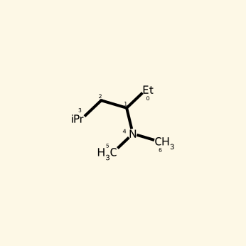 CCC(CC(C)C)N(C)C